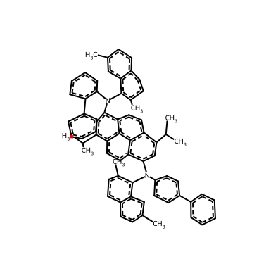 Cc1ccc2ccc(C)c(N(c3ccc(-c4ccccc4)cc3)c3cc(C(C)C)c4ccc5c(N(c6ccccc6-c6ccccc6)c6c(C)ccc7ccc(C)cc67)cc(C(C)C)c6ccc3c4c65)c2c1